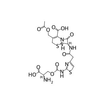 CC(=O)OCC1=C(C(=O)O)N2C(=O)[C@@H](NC(=O)Cc3csc(NC(=O)OC[C@@H](N)C(=O)O)n3)[C@@H]2SC1